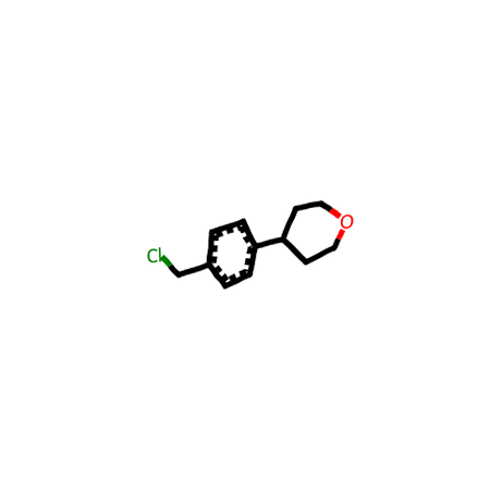 ClCc1ccc(C2CCOCC2)cc1